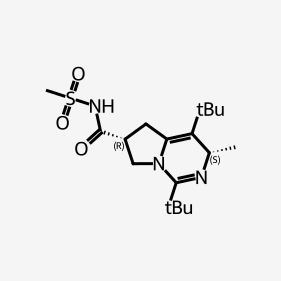 C[C@@H]1N=C(C(C)(C)C)N2C[C@H](C(=O)NS(C)(=O)=O)CC2=C1C(C)(C)C